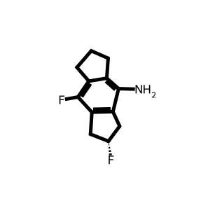 Nc1c2c(c(F)c3c1C[C@H](F)C3)CCC2